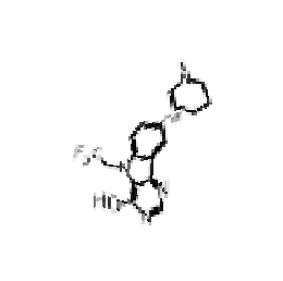 CN1CCC[C@H](c2ccc3c(c2)c2ncnc(O)c2n3CC(F)(F)F)C1